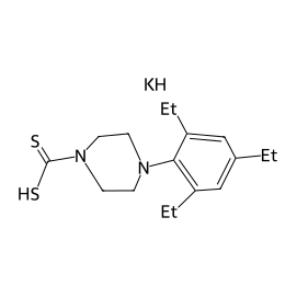 CCc1cc(CC)c(N2CCN(C(=S)S)CC2)c(CC)c1.[KH]